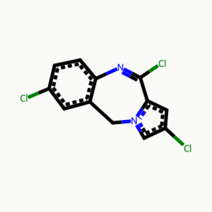 ClC1=Nc2ccc(Cl)cc2Cn2cc(Cl)cc21